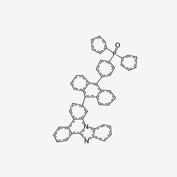 O=P(c1ccccc1)(c1ccccc1)c1ccc(-c2c3ccccc3c(-c3ccc4c5ccccc5c5nc6ccccc6n5c4c3)c3ccccc23)cc1